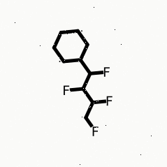 FCC(F)C(F)C(F)C1[CH]CC[CH]C1